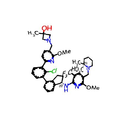 COc1nc(-c2cccc(-c3cccc4c3CC[C@@H]4Nc3nc(OC)c(CN4CCCC[C@@]4(C)C(=O)O)cc3C(F)(F)F)c2Cl)ccc1CN1CC(C)(O)C1